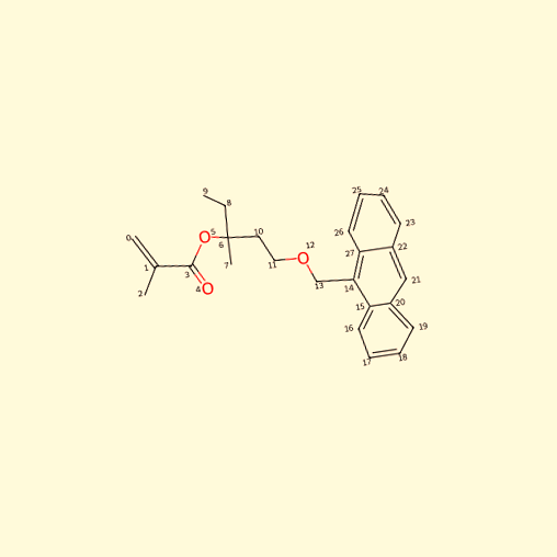 C=C(C)C(=O)OC(C)(CC)CCOCc1c2ccccc2cc2ccccc12